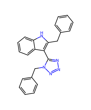 c1ccc(Cc2[nH]c3ccccc3c2-c2nnnn2Cc2ccccc2)cc1